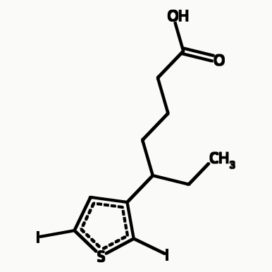 CCC(CCCC(=O)O)c1cc(I)sc1I